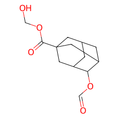 O=COC1C2CC3CC1CC(C(=O)OCO)(C3)C2